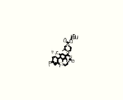 C[C@H]1CN(C(=O)OC(C)(C)C)CCN1c1nc(=O)n2c3c(c(-c4ccc(F)cc4F)c(C(F)(F)F)cc13)SCC2